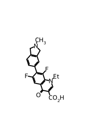 CCn1cc(C(=O)O)c(=O)c2cc(F)c(-c3ccc4c(c3)CN(C)C4)c(F)c21